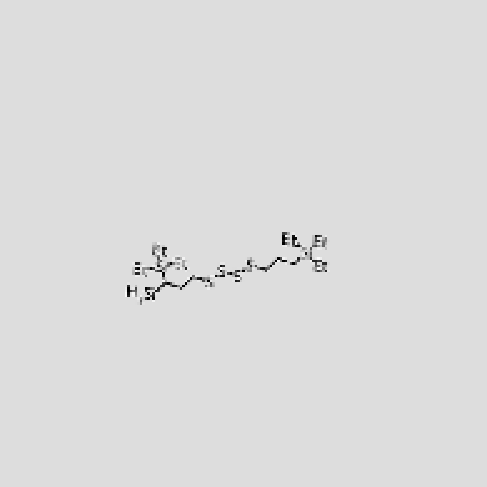 CC[Si](CC)(CC)CCCSSSSCCC([SiH3])[Si](CC)(CC)CC